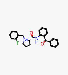 O=C(c1ccccc1)c1ccccc1NC(=O)[C@@H]1CCCN1Cc1ccccc1F